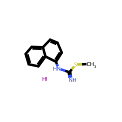 CSC(=N)Nc1cccc2ccccc12.I